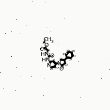 CCOC(=O)CNC(=O)Nc1cc(N2CC(c3ccccc3)CC2=O)ccn1